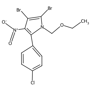 CCOCn1c(Br)c(Br)c([N+](=O)[O-])c1-c1ccc(Cl)cc1